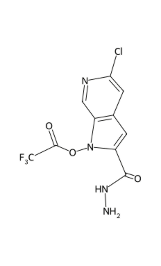 NNC(=O)c1cc2cc(Cl)ncc2n1OC(=O)C(F)(F)F